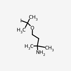 CC(C)(N)CCOC(C)(C)I